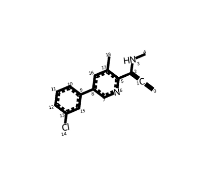 C=C=C(NC)c1ncc(-c2cccc(Cl)c2)cc1C